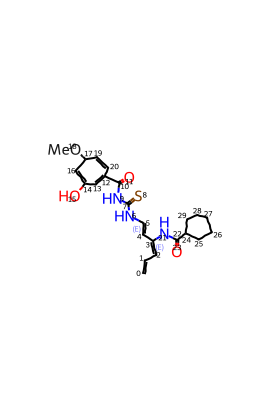 C=C/C=C(\C=C\NC(=S)NC(=O)C1=CC(O)=CC(OC)C=C1)NC(=O)C1CCCCC1